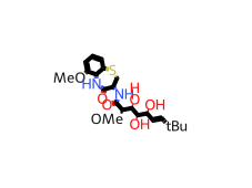 COC1=CC=CC2SCC(NC(=O)[C@H](OC)[C@H](O)[C@@H](O)[C@H](O)/C=C/C(C)(C)C)C(=O)NC12